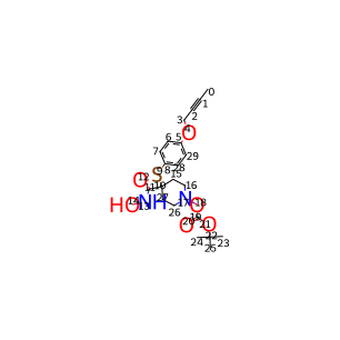 CC#CCOc1ccc(SC2(C(=O)NO)CCN(OC(=O)OC(C)(C)C)CC2)cc1